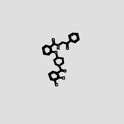 O=C(CNC(=O)c1ccccc1OC1CCN(C(=O)c2cccc(Cl)c2Cl)CC1)c1ccccc1